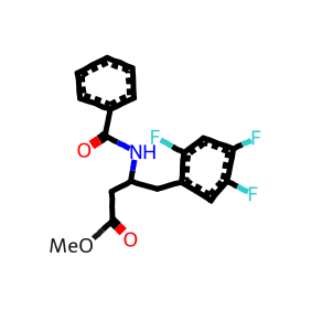 COC(=O)CC(Cc1cc(F)c(F)cc1F)NC(=O)c1ccccc1